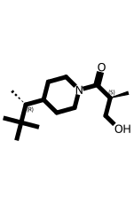 C[C@H](C1CCN(C(=O)[C@@H](C)CO)CC1)C(C)(C)C